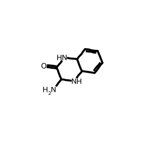 NC1NC2C=CC=CC2NC1=O